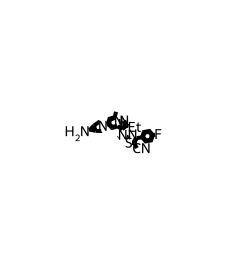 CCc1nn2c(C)cc(N3CC4C(N)C4C3)cc2c1N(C)c1nc(-c2ccc(F)cc2)c(C#N)s1